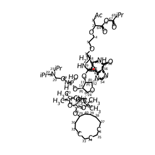 CC(=O)CC(OCCOCCNC(=O)O[C@@H]1[C@H](OP(O)NOCN(C(C)C)C(C)C)[C@@H](CO[Si](OC2CCCCCCCCCCC2)(O[Si](C)(C)C)O[Si](C)(C)C)O[C@H]1n1cnc2c(=O)[nH]c(N)nc21)C(=O)OC(=O)C(C)C